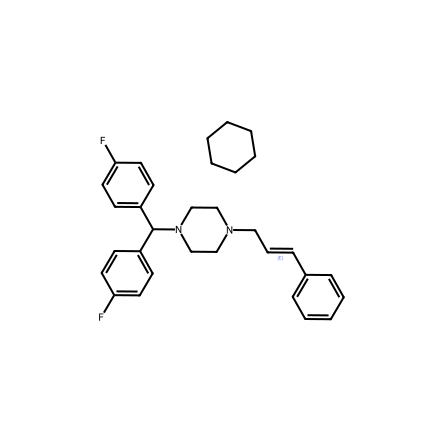 C1CCCCC1.Fc1ccc(C(c2ccc(F)cc2)N2CCN(C/C=C/c3ccccc3)CC2)cc1